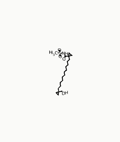 CS(=O)(=O)NC(=O)C1(CCCCCCCCCCCCC2(CO)CC2)CC1